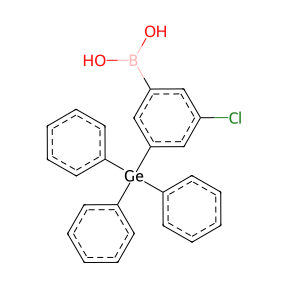 OB(O)c1cc(Cl)c[c]([Ge]([c]2ccccc2)([c]2ccccc2)[c]2ccccc2)c1